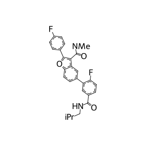 CNC(=O)c1c(-c2ccc(F)cc2)oc2ccc(-c3cc(C(=O)NCC(C)C)ccc3F)cc12